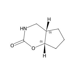 O=C1NC[C@@H]2CCC[C@@H]2O1